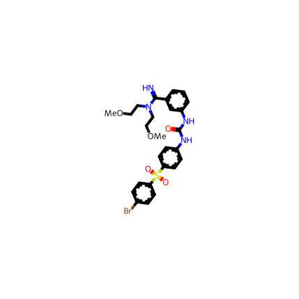 COCCN(CCOC)C(=N)c1cccc(NC(=O)Nc2ccc(S(=O)(=O)c3ccc(Br)cc3)cc2)c1